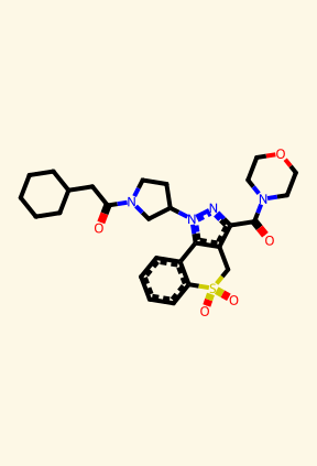 O=C(CC1CCCCC1)N1CCC(n2nc(C(=O)N3CCOCC3)c3c2-c2ccccc2S(=O)(=O)C3)C1